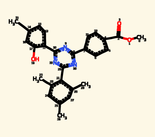 COC(=O)c1ccc(-c2nc(-c3ccc(C)cc3O)nc(-c3c(C)cc(C)cc3C)n2)cc1